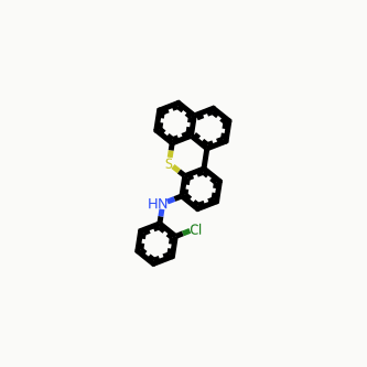 Clc1ccccc1Nc1cccc2c1Sc1cccc3cccc-2c13